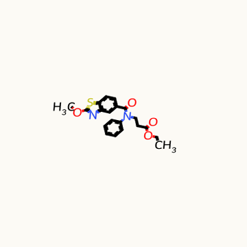 CCOC(=O)CCN(C(=O)c1ccc2sc(OC)nc2c1)c1ccccc1